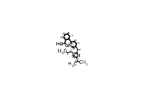 CCCn1nc(C(C)C)nc1Cc1ccc(-c2ccccc2C(=O)O)nc1